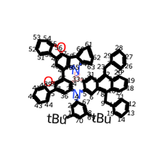 CC(C)(C)c1cc(N2c3cc4c(Cc5ccccc5)c5ccccc5c(Cc5ccccc5)c4cc3B3c4c2cc2c(oc5ccccc52)c4-c2cc4c5ccccc5oc4c4c5ccccc5n3c24)cc(C(C)(C)C)c1